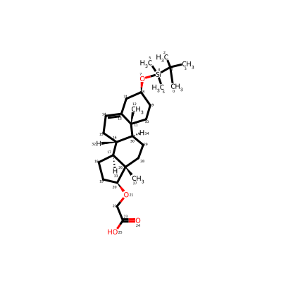 CC(C)(C)[Si](C)(C)O[C@H]1CC[C@@]2(C)C(=CC[C@H]3[C@@H]4CC[C@H](OCC(=O)O)[C@@]4(C)CC[C@@H]32)C1